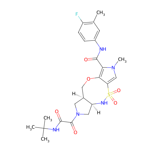 Cc1cc(NC(=O)c2c3c(cn2C)S(=O)(=O)N[C@H]2CN(C(=O)C(=O)NC(C)(C)C)C[C@H]2CO3)ccc1F